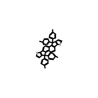 Cc1ccc(C2(c3ccc(C)cc3)c3ccsc3-c3ccc4c5c(ccc4c32)-c2sccc2C5(c2ccc(C)cc2)c2ccc(C)cc2)cc1